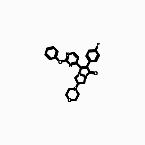 O=c1c(-c2ccc(F)cc2)c(-c2ccnc(Oc3ccccc3)n2)n2n1CC(N1CCOCC1)C2